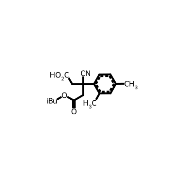 CCC(C)OC(=O)CC(C#N)(CC(=O)O)c1ccc(C)cc1C